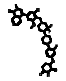 COc1cc(-c2cn(C)c(=O)c3cnccc23)cc(Cl)c1CN1CCC(N2CCN(c3ccc(OC4CCC(=O)NC4=O)cc3F)CC2)C(F)(F)C1